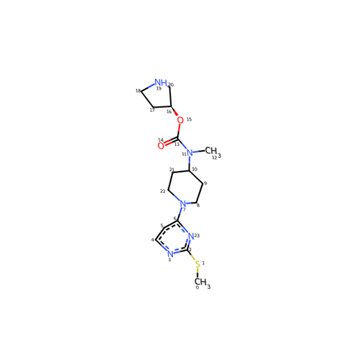 CSc1nccc(N2CCC(N(C)C(=O)O[C@H]3CCNC3)CC2)n1